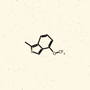 Cc1s[c]c2c(OC(F)(F)F)cccc12